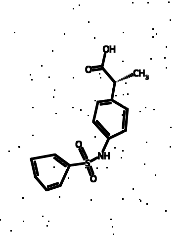 C[C@@H](C(=O)O)c1ccc(NS(=O)(=O)c2ccccc2)cc1